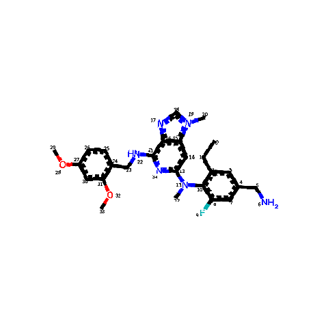 CCc1cc(CN)cc(F)c1N(C)c1cc2c(ncn2C)c(NCc2ccc(OC)cc2OC)n1